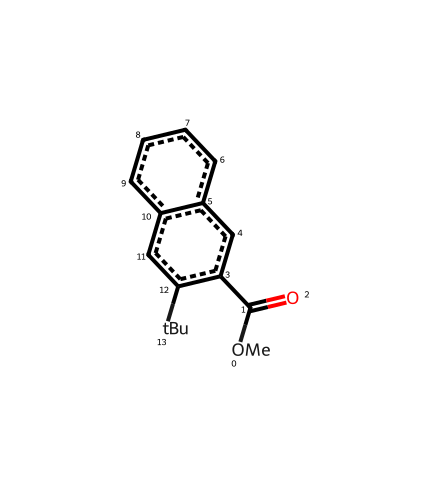 COC(=O)c1cc2ccccc2cc1C(C)(C)C